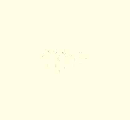 COc1cccnc1Nc1nc(C(F)(F)F)c(Oc2ccc(Cl)c(Cl)c2)c(=O)[nH]1